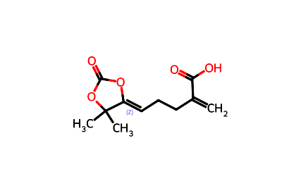 C=C(CC/C=C1\OC(=O)OC1(C)C)C(=O)O